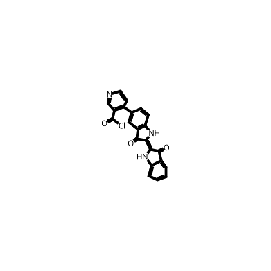 O=C1/C(=C2\Nc3ccc(-c4ccncc4C(=O)Cl)cc3C2=O)Nc2ccccc21